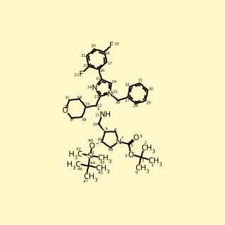 CC(C)(C)OC(=O)N1C[C@H](CN[C@@H](c2nc(-c3cc(F)ccc3F)cn2Cc2ccccc2)C2CCOCC2)[C@@H](O[Si](C)(C)C(C)(C)C)C1